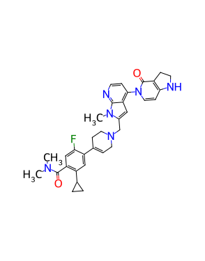 CN(C)C(=O)c1cc(F)c(C2=CCN(Cc3cc4c(-n5ccc6c(c5=O)CCN6)ccnc4n3C)CC2)cc1C1CC1